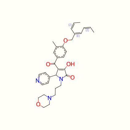 C\C=C/C=C(\C=C/C)COc1ccc(C(=O)C2=C(O)C(=O)N(CCCN3CCOCC3)C2c2ccncc2)cc1C